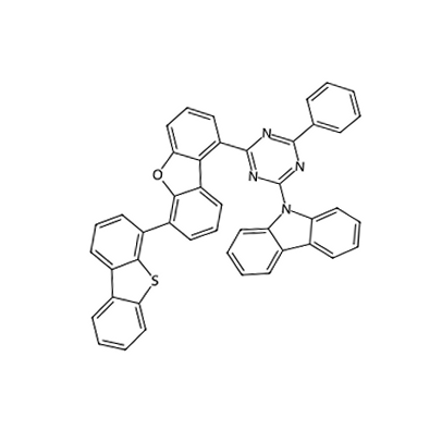 c1ccc(-c2nc(-c3cccc4oc5c(-c6cccc7c6sc6ccccc67)cccc5c34)nc(-n3c4ccccc4c4ccccc43)n2)cc1